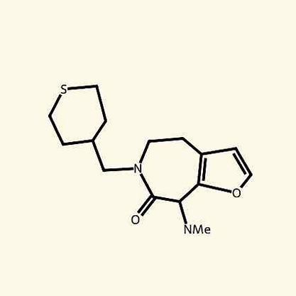 CNC1C(=O)N(CC2CCSCC2)CCc2ccoc21